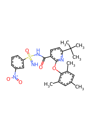 Cc1cc(C)c(Oc2nc(C(C)(C)C)ccc2C(=O)NS(=N)(=O)c2cccc([N+](=O)[O-])c2)c(C)c1